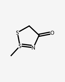 CS1=NC(=O)CS1